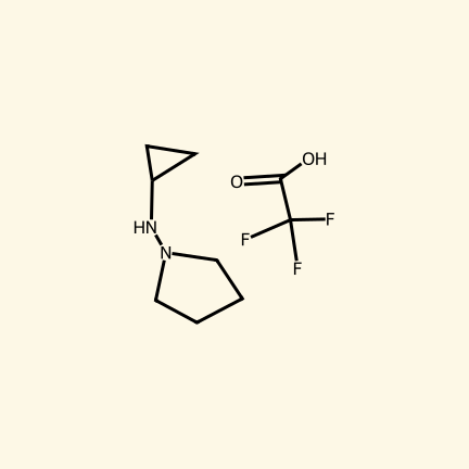 C1CCN(NC2CC2)C1.O=C(O)C(F)(F)F